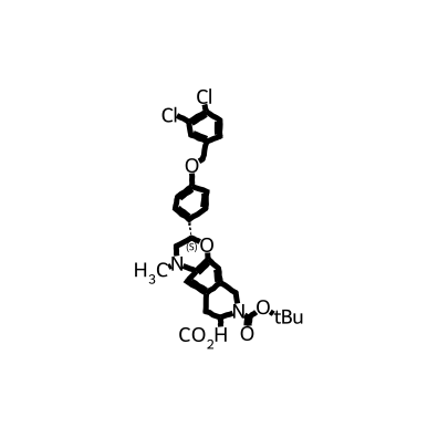 CN1C[C@H](c2ccc(OCc3ccc(Cl)c(Cl)c3)cc2)Oc2cc3c(cc21)CC(C(=O)O)N(C(=O)OC(C)(C)C)C3